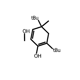 CC(C)(C)C1=C(O)C=CC(C)(C(C)(C)C)C1.CO